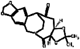 CC1(C)O[C@@H]2C(=O)N3CCC(C(=O)C[C@H]2O1)c1cc2c(cc1C3)OCO2